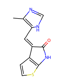 Cc1nc[nH]c1/C=C1\C(=O)Nc2sccc21